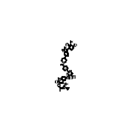 CC(C1CCN(c2ncc(Cl)c(Nc3ccc4c(c3)c3c(c(=O)n4C)OCC(F)(F)[C@H](C4CC4)N3)n2)CC1)N1CCC(c2ccc3c(C4CCC(=O)NC4=O)nn(C)c3c2)CC1